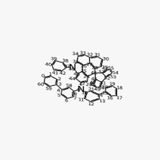 c1ccc(-c2cccc(N(c3cccc(-c4ccccc4)c3)c3cc4c5c6c7c(cccc7ccc6n(-c6ccccc6)c5c3)C43c4ccccc4-c4ccccc43)c2)cc1